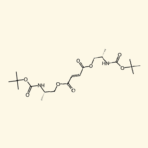 C[C@@H](COC(=O)/C=C/C(=O)OC[C@H](C)NC(=O)OC(C)(C)C)NC(=O)OC(C)(C)C